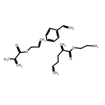 C=CCCC(=C)C(=O)OCCN.C=CCOC(=O)C(=C)C.C=Cc1ccccc1